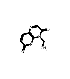 CCn1c(=O)cnc2ccc(=O)[nH]c21